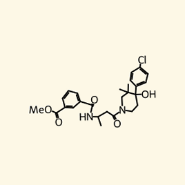 COC(=O)c1cccc(C(=O)NC(C)CC(=O)N2CCC(O)(c3ccc(Cl)cc3)C(C)(C)C2)c1